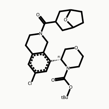 CC(C)(C)OC(=O)N1CCOC[C@H]1c1cc(Cl)cc2c1CN(C(=O)C1CC3CCC(C1)O3)CC2